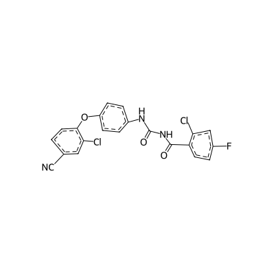 N#Cc1ccc(Oc2ccc(NC(=O)NC(=O)c3ccc(F)cc3Cl)cc2)c(Cl)c1